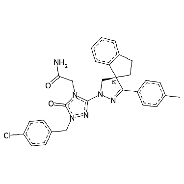 Cc1ccc(C2=NN(c3nn(Cc4ccc(Cl)cc4)c(=O)n3CC(N)=O)C[C@@]23CCc2ccccc23)cc1